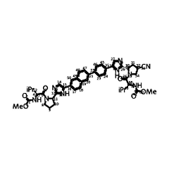 COC(=O)N[C@H](C(=O)N1CCCC1c1ncc(-c2ccc3cc(-c4ccc(-c5cnc([C@@H]6C[C@@H](C#N)CN6C(=O)[C@@H](NC(=O)OC)C(C)C)[nH]5)cc4)ccc3c2)[nH]1)C(C)C